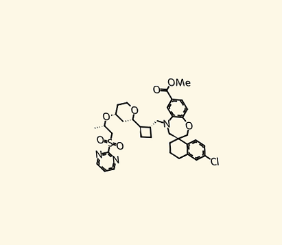 COC(=O)c1ccc2c(c1)N(C[C@@H]1CC[C@H]1[C@@H]1C[C@H](O[C@@H](C)CS(=O)(=O)c3ncccn3)CCO1)C[C@@]1(CCCc3cc(Cl)ccc31)CO2